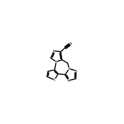 N#Cc1ncn2c1Cn1ncnc1-c1sccc1-2